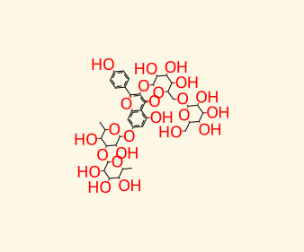 CC1OC(OC2C(O)C(C)OC(Oc3cc(O)c4c(=O)c(OC5OC(COC6OC(CO)C(O)C(O)C6O)C(O)C(O)C5O)c(-c5ccc(O)cc5)oc4c3)C2O)C(O)C(O)C1O